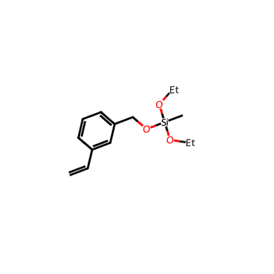 C=Cc1cccc(CO[Si](C)(OCC)OCC)c1